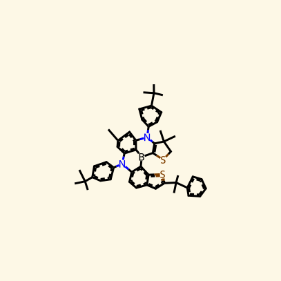 Cc1cc2c3c(c1)N(c1ccc(C(C)(C)C)cc1)c1ccc4cc(C(C)(C)c5ccccc5)sc4c1B3C1=C(N2c2ccc(C(C)(C)C)cc2)C(C)(C)CS1